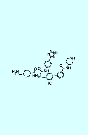 Cl.NC[C@H]1CC[C@H](C(=O)N[C@@H](Cc2ccc(-c3cccc(C(=O)NC4CCNCC4)c3)cc2)C(=O)Nc2ccc(-c3nn[nH]n3)cc2)CC1